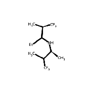 CCC(N[C@@H](C)C(C)C(F)(F)F)[C@@H](C)C(F)(F)F